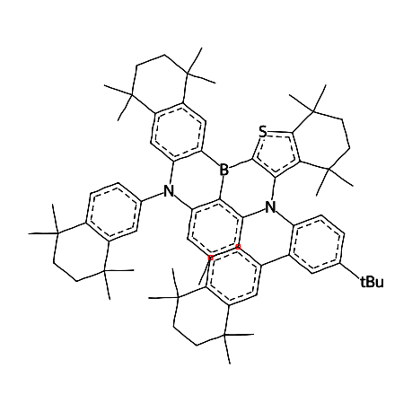 Cc1cc2c3c(c1)N(c1ccc(C(C)(C)C)cc1-c1ccc4c(c1)C(C)(C)CCC4(C)C)c1c(sc4c1C(C)(C)CCC4(C)C)B3c1cc3c(cc1N2c1ccc2c(c1)C(C)(C)CCC2(C)C)C(C)(C)CCC3(C)C